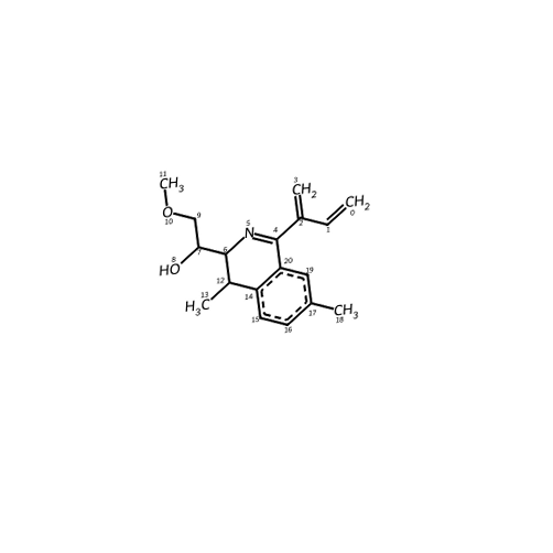 C=CC(=C)C1=NC(C(O)COC)C(C)c2ccc(C)cc21